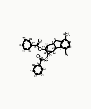 CCc1ccc(C)c2c1CC1C3CC(C(OC(=O)c4ccccc4)C3OC(=O)c3ccccc3)C21